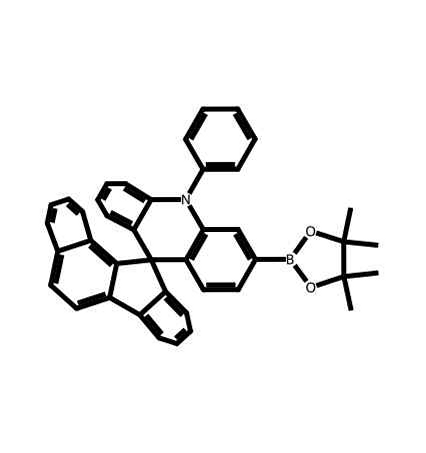 CC1(C)OB(c2ccc3c(c2)N(c2ccccc2)c2ccccc2C32c3ccccc3-c3ccc4ccccc4c32)OC1(C)C